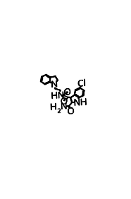 NC(=O)C1Nc2ccc(Cl)cc2C1S(=O)(=O)NCCN1CCc2ccccc21